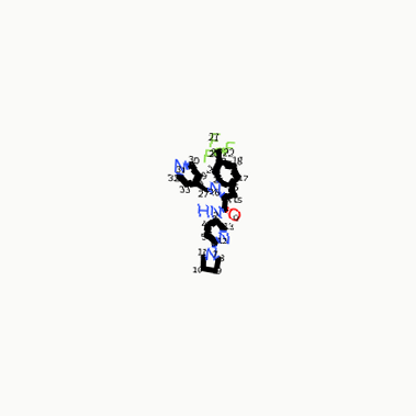 O=C(Nc1ccc(N2CCCC2)nc1)c1cc2ccc(C(F)(F)F)cc2n1Cc1ccncc1